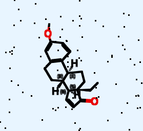 CC[C@]12CC[C@@H]3c4ccc(OC)cc4CC[C@H]3[C@@H]1C=CC2=O